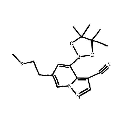 CSCCc1cc(B2OC(C)(C)C(C)(C)O2)c2c(C#N)cnn2c1